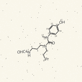 CC(C)CCN(CCCNC=O)C(=O)N(C)c1ccc(O)cc1